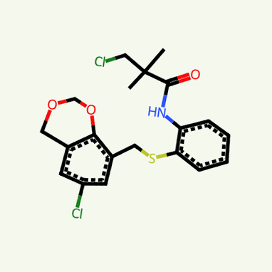 CC(C)(CCl)C(=O)Nc1ccccc1SCc1cc(Cl)cc2c1OCOC2